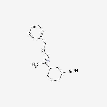 C/C(=N\OCc1ccccc1)C1CCCC(C#N)C1